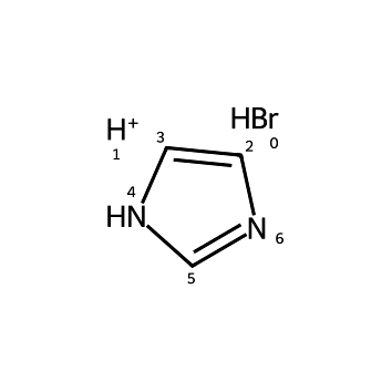 Br.[H+].c1c[nH]cn1